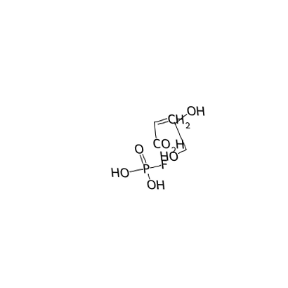 C=CC(=O)O.O=P(O)(O)F.OCCO